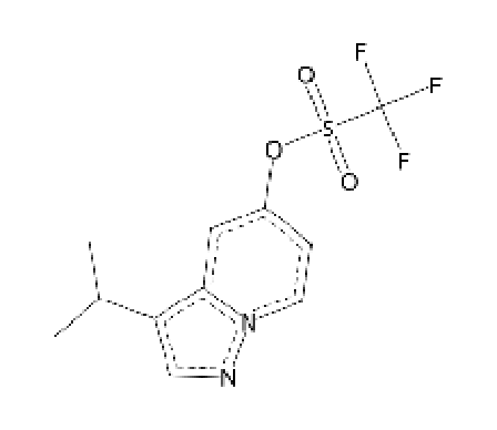 CC(C)c1cnn2ccc(OS(=O)(=O)C(F)(F)F)cc12